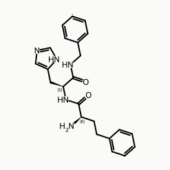 N[C@H](CCc1ccccc1)C(=O)N[C@@H](Cc1cnc[nH]1)C(=O)NCc1cc[c]cc1